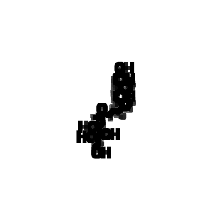 C[C@H](CCC(=O)N(C)C[C@H](O)[C@@H](O)[C@H](O)CCO)C1CCC2[C@@H]3CC[C@@H]4C[C@H](O)CC[C@]4(C)C3CC[C@@]21C